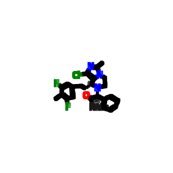 CNC(=O)[C@@H](c1ccccc1)N1CCn2c(C)nc(Cl)c2[C@H]1CCc1cc(F)c(C)c(F)c1